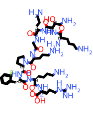 N=C(N)NCC/C=C(\NC(=O)[C@H](CCCCN)NC(=O)[C@H](Cc1ccccc1F)NC(=O)[C@@H]1CCCN1C(=O)/C(CCCN)=N/C(=O)CNC(=O)[C@H](CCCN)NC(=O)[C@@H](NC(=O)[C@@H](N)CCCCN)[C@@H](O)CN)C(=O)O